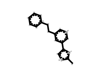 Cc1nc(-c2cncc(CCc3ccccc3)c2)cs1